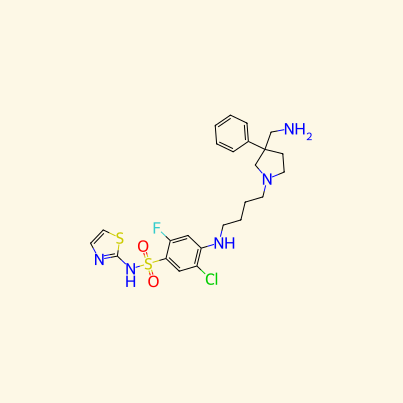 NCC1(c2ccccc2)CCN(CCCCNc2cc(F)c(S(=O)(=O)Nc3nccs3)cc2Cl)C1